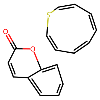 O=c1ccc2ccccc2o1.c1ccccsccc1